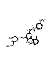 COc1c(CC[C@@H](CC(C)(C)C)NC(=O)OC(C)(C)C)nc(NS(=O)(=O)c2cccc(C(=O)O)c2)nc1-c1c(C)cccc1C